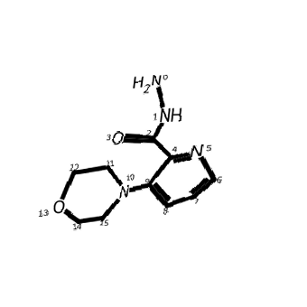 NNC(=O)c1ncccc1N1CCOCC1